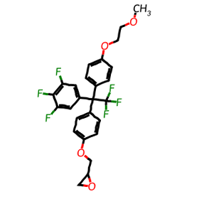 COCCOc1ccc(C(c2ccc(OCC3CO3)cc2)(c2cc(F)c(F)c(F)c2)C(F)(F)F)cc1